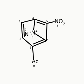 CC(=O)c1ccc2c([N+](=O)[O-])c1[n+]2=[N-]